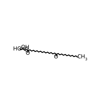 CCCCCCCCCCCCCC(=O)CCCCCCCCCCCCCCCC(=O)OCC(O)CO